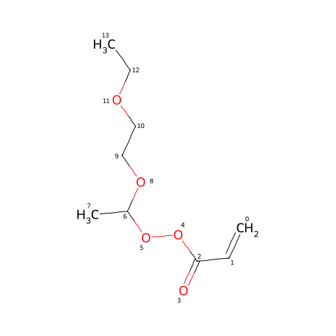 C=CC(=O)OOC(C)OCCOCC